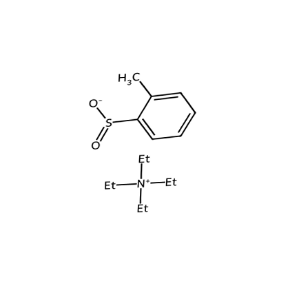 CC[N+](CC)(CC)CC.Cc1ccccc1S(=O)[O-]